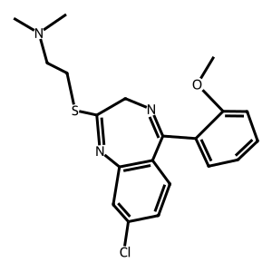 COc1ccccc1C1=NCC(SCCN(C)C)=Nc2cc(Cl)ccc21